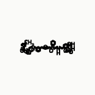 Cc1csc(C(=O)N2CCOC3(CCN(Cc4cccc(CCOCCC(=O)N(CCNCCc5ccc(O)c6c5OCC(=O)N6)C5CCCCC5)c4)CC3)C2)c1